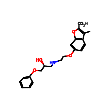 Cc1c(C(=O)O)oc2cc(OCCNC[C@H](O)COc3ccccc3)ccc12